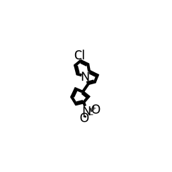 O=[N+]([O-])c1cccc(-c2ccc3cc(Cl)ccn23)c1